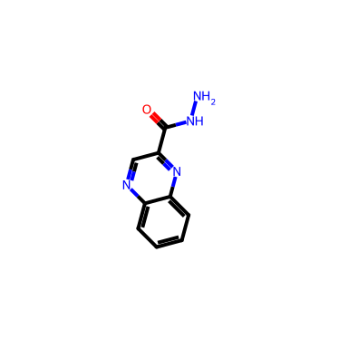 NNC(=O)c1cnc2ccccc2n1